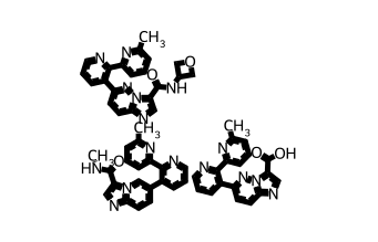 CNC(=O)c1cnc2ccc(-c3cccnc3-c3cccc(C)n3)cn12.Cc1cccc(-c2ncccc2-c2ccc3ncc(C(=O)NC4COC4)n3n2)n1.Cc1cccc(-c2ncccc2-c2ccc3ncc(C(=O)O)n3n2)n1